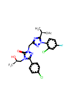 CC(=O)O[C@H](C)c1nc(Cn2nc(-c3ccc(Cl)cc3)n(C[C@H](O)C(F)(F)F)c2=O)nn1-c1ccc(F)cc1Cl